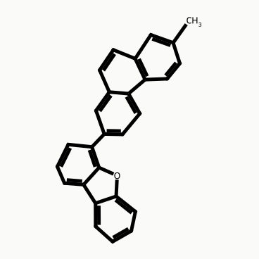 Cc1ccc2c(ccc3cc(-c4cccc5c4oc4ccccc45)ccc32)c1